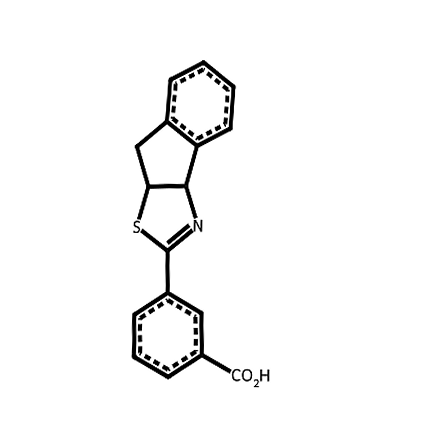 O=C(O)c1cccc(C2=NC3c4ccccc4CC3S2)c1